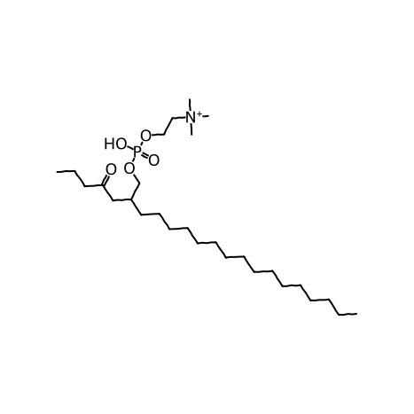 CCCCCCCCCCCCCCCCC(COP(=O)(O)OCC[N+](C)(C)C)CC(=O)CCC